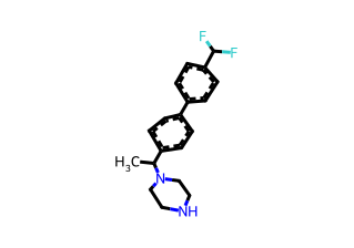 CC(c1ccc(-c2ccc(C(F)F)cc2)cc1)N1CCNCC1